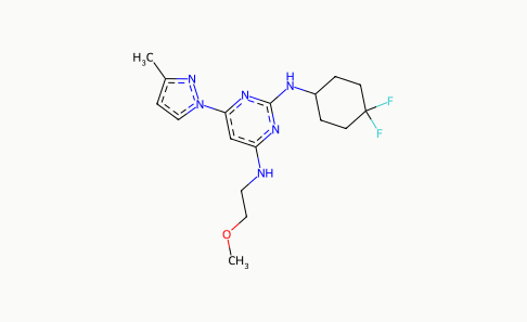 COCCNc1cc(-n2ccc(C)n2)nc(NC2CCC(F)(F)CC2)n1